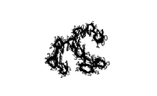 c1ccc(-c2cccc(-c3cccc(-c4cc(-c5cccc(-c6cccc(-c7ccccn7)n6)n5)nc(-c5ccc(-n6c7ccccc7c7ccccc76)cn5)n4)n3)n2)nc1